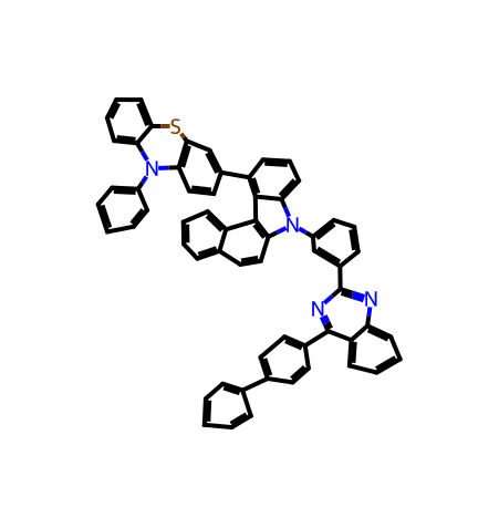 c1ccc(-c2ccc(-c3nc(-c4cccc(-n5c6cccc(-c7ccc8c(c7)Sc7ccccc7N8c7ccccc7)c6c6c7ccccc7ccc65)c4)nc4ccccc34)cc2)cc1